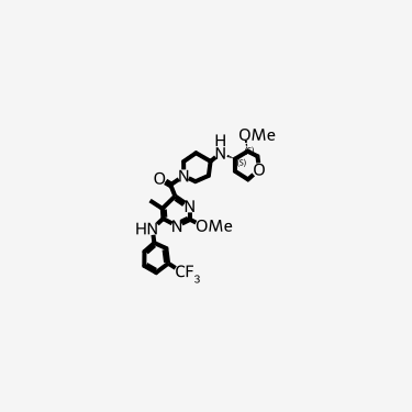 COc1nc(Nc2cccc(C(F)(F)F)c2)c(C)c(C(=O)N2CCC(N[C@H]3CCOC[C@H]3OC)CC2)n1